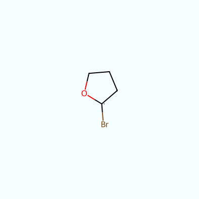 Br[C]1CCCO1